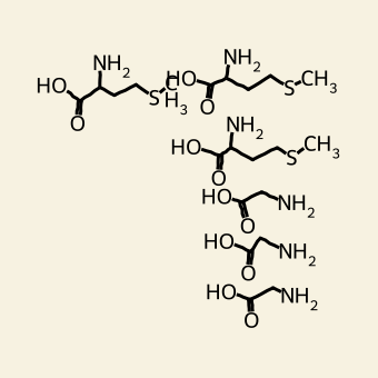 CSCCC(N)C(=O)O.CSCCC(N)C(=O)O.CSCCC(N)C(=O)O.NCC(=O)O.NCC(=O)O.NCC(=O)O